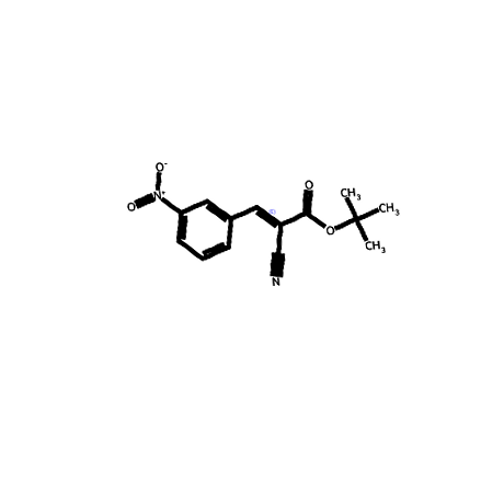 CC(C)(C)OC(=O)/C(C#N)=C/c1cccc([N+](=O)[O-])c1